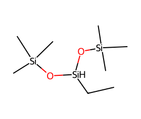 CC[SiH](O[Si](C)(C)C)O[Si](C)(C)C